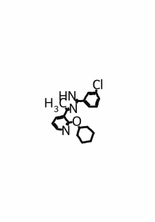 C/C(=N\C(=N)c1cccc(Cl)c1)c1cccnc1OC1CCCCC1